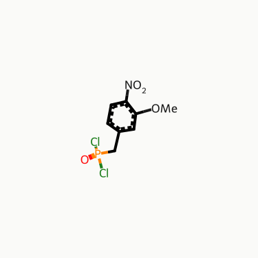 COc1cc(CP(=O)(Cl)Cl)ccc1[N+](=O)[O-]